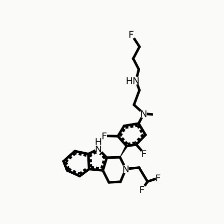 CN(CCNCCCF)c1cc(F)c([C@@H]2c3[nH]c4ccccc4c3CCN2CC(F)F)c(F)c1